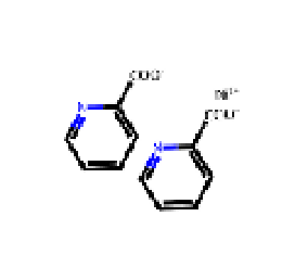 O=C([O-])c1ccccn1.O=C([O-])c1ccccn1.[Ni+2]